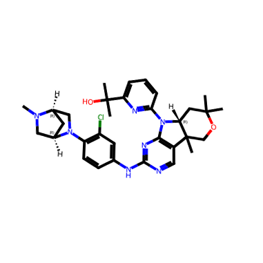 CN1C[C@H]2C[C@@H]1CN2c1ccc(Nc2ncc3c(n2)N(c2cccc(C(C)(C)O)n2)[C@@H]2CC(C)(C)OCC32C)cc1Cl